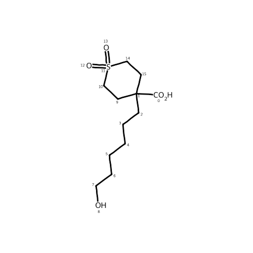 O=C(O)C1(CCCCCCO)CCS(=O)(=O)CC1